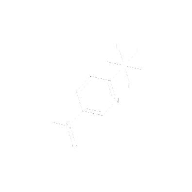 O=[N+]([O-])c1ccc(S(F)(F)(F)(F)F)nc1